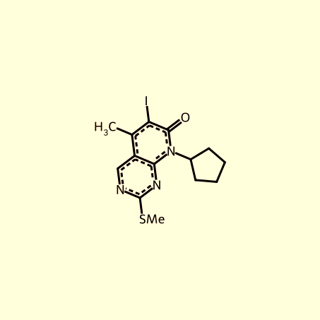 CSc1ncc2c(C)c(I)c(=O)n(C3CCCC3)c2n1